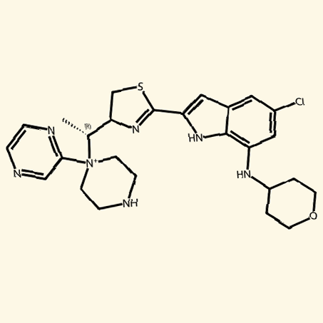 C[C@H](C1CSC(c2cc3cc(Cl)cc(NC4CCOCC4)c3[nH]2)=N1)[N+]1(c2cnccn2)CCNCC1